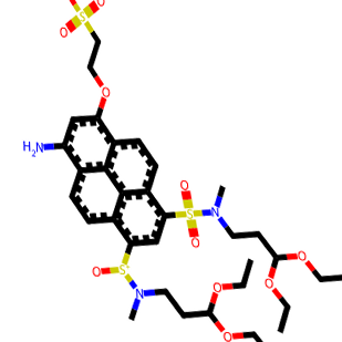 CCOC(CCN(C)[S+]([O-])c1cc(S(=O)(=O)N(C)CCC(OCC)OCC)c2ccc3c(OCCS(=O)(=O)O)cc(N)c4ccc1c2c43)OCC